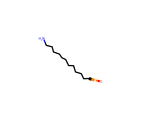 NCCCCCCCCCCCC#P=O